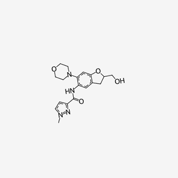 Cn1ccc(C(=O)Nc2cc3c(cc2N2CCOCC2)OC(CO)C3)n1